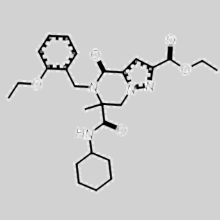 CCOC(=O)c1cc2n(n1)CC(C)(C(=O)NC1CCCCC1)N(Cc1ccccc1OCC)C2=O